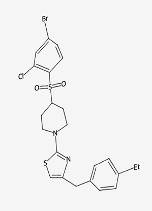 CCc1ccc(Cc2csc(N3CCC(S(=O)(=O)c4ccc(Br)cc4Cl)CC3)n2)cc1